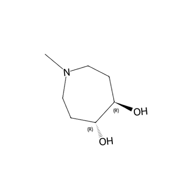 CN1CC[C@@H](O)[C@H](O)CC1